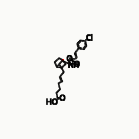 O=C(O)CCCC=CCC1C2CCC(CC2)C1NS(=O)(=O)C=Cc1ccc(Cl)cc1